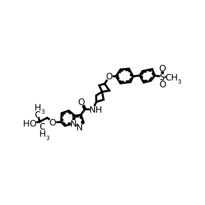 CC(C)(O)COc1ccc2c(C(=O)NC3CC4(C3)CC(Oc3ccc(-c5ccc(S(C)(=O)=O)cc5)cc3)C4)cnn2c1